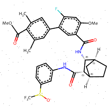 COC(=O)c1c(C)cc(-c2cc(C(=O)N[C@@H]3[C@H]4CC[C@H](C4)[C@@H]3C(=O)Nc3cccc([S+]([O-])C(F)(F)F)c3)c(OC)cc2F)cc1C